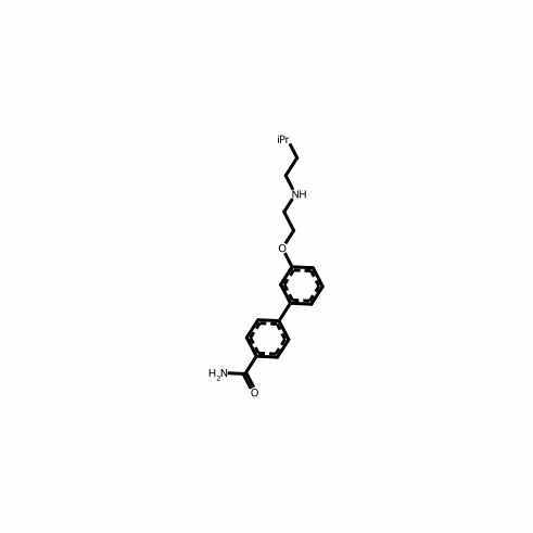 CC(C)CCNCCOc1cccc(-c2ccc(C(N)=O)cc2)c1